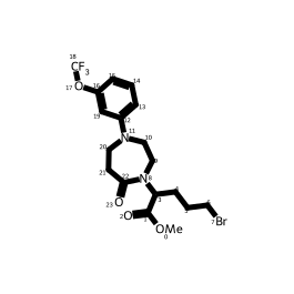 COC(=O)C(CCCBr)N1CCN(c2cccc(OC(F)(F)F)c2)CCC1=O